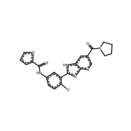 O=C(Nc1ccc(Cl)c(-c2nc3ncc(C(=O)N4CCCC4)cc3[nH]2)c1)c1ccco1